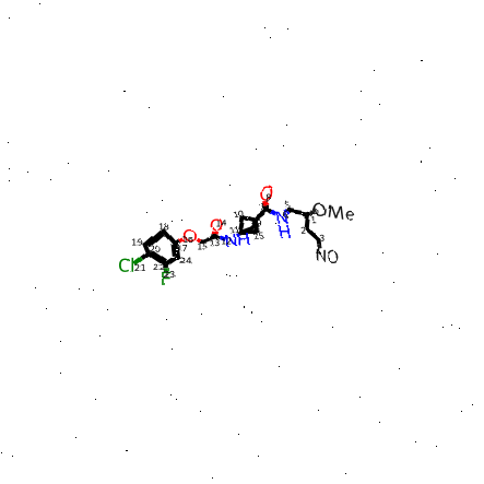 COC(CCN=O)CNC(=O)C12CC(NC(=O)COc3ccc(Cl)c(F)c3)(C1)C2